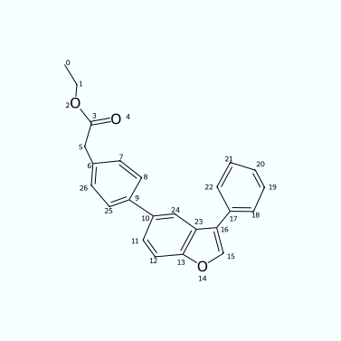 CCOC(=O)Cc1ccc(-c2ccc3occ(-c4ccccc4)c3c2)cc1